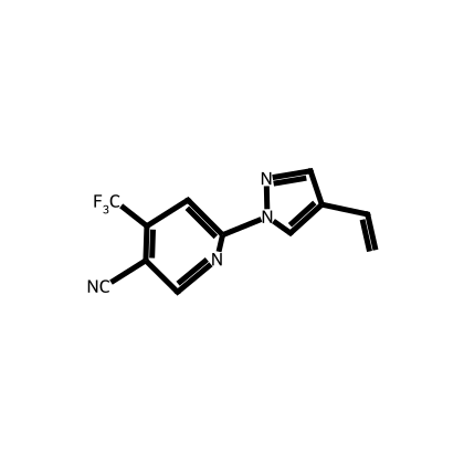 C=Cc1cnn(-c2cc(C(F)(F)F)c(C#N)cn2)c1